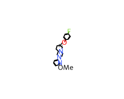 COc1cccc(N2CCN3C[C@H](COc4ccc(F)cc4)CCC3C2)n1